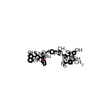 CCc1cccc2cc(O)cc(-c3ncc4c(N5CC6CCC(C5)N6C(=O)OC(C)(C)C)nc(OCCN5CCC(F)(CN6CCN(c7cc(C(C(=O)N8C[C@H](O)C[C@H]8C(=O)NC(C)c8ccc(-c9scnc9C)cc8)C(C)C)on7)C[C@H]6C)CC5)nc4c3F)c12